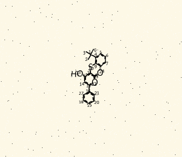 CC(C)(C)c1ccccc1Sc1c(O)cc(-c2ccccc2)oc1=O